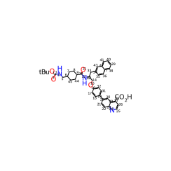 CC(C)(C)OC(=O)NCC1CCC(C(=O)N[C@H](COc2ccc(-c3ccc4nccc(C(=O)O)c4c3)cc2)Cc2ccc3ccccc3c2)CC1